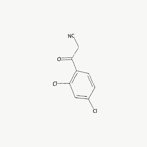 N#CCC(=O)c1ccc(Cl)cc1Cl